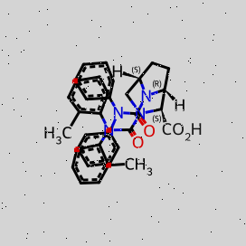 Cc1ccccc1N(C(=O)N1C[C@@H]2CC[C@H]([C@H]1C(=O)O)N2C(=O)N(c1ccccc1)c1ccccc1)c1ccccc1C